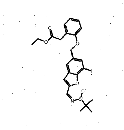 CCOC(=O)Cc1ccccc1OCc1cc(I)c2oc(/C=N\[S+]([O-])C(C)(C)C)cc2c1